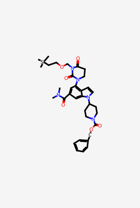 CN(C)C(=O)c1cc(N2CCC(=O)N(COCC[Si](C)(C)C)C2=O)c2ccn(C3CCN(C(=O)OCc4ccccc4)CC3)c2c1